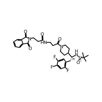 CC(C)(C)[S@+]([O-])N[C@H](Cc1cc(F)c(F)cc1F)C1CCN(C(=O)CCNC(=O)CCN2C(=O)c3ccccc3C2=O)CC1